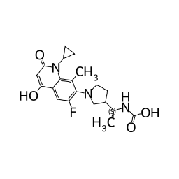 Cc1c(N2CCC([C@H](C)NC(=O)O)C2)c(F)cc2c(O)cc(=O)n(C3CC3)c12